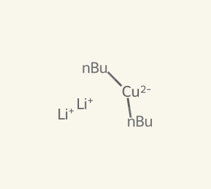 CCC[CH2][Cu-2][CH2]CCC.[Li+].[Li+]